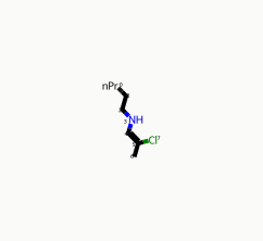 CCCCCNC=C(C)Cl